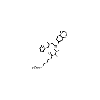 CCCCCCCCCCCCCCCC(=O)C(C)C(C)C[C@@H](Cc1ccc2c(c1)OCCO2)CN(C)Cc1ccco1